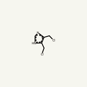 ClCc1nc[nH]c1CCl